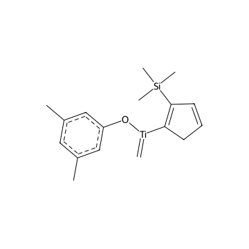 [CH2]=[Ti]([O]c1cc(C)cc(C)c1)[C]1=C([Si](C)(C)C)C=CC1